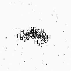 CCN(OC)[C@@H](C)C(=O)OP(=O)(O)OC(ON=[N+]=[N-])[C@H]1O[C@@H](n2cc(C)c(=O)[nH]c2=O)C[C@@H]1O